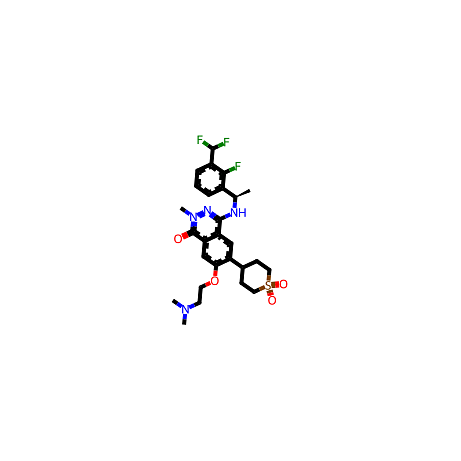 C[C@@H](Nc1nn(C)c(=O)c2cc(OCCN(C)C)c(C3CCS(=O)(=O)CC3)cc12)c1cccc(C(F)F)c1F